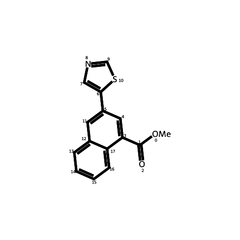 COC(=O)c1cc(-c2cncs2)cc2ccccc12